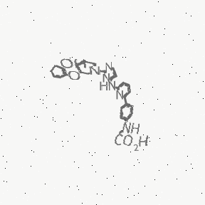 O=C(O)CNc1ccc(-c2cccc(Nc3ccnc(N4CCCC(OC5=C(O)CCC=C5)C4)n3)n2)cc1